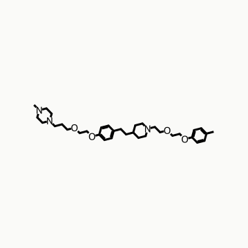 Cc1ccc(OCCOCCN2CCC(CCc3ccc(OCCOCCCN4CCN(C)CC4)cc3)CC2)cc1